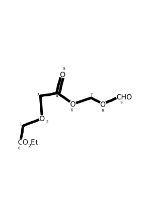 CCOC(=O)COCC(=O)OCOC=O